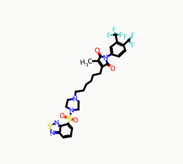 CC1=C(CCCCCCN2CCN(S(=O)(=O)c3cccc4nsnc34)CC2)C(=O)N(c2ccc(C(F)(F)F)c(C(F)(F)F)c2)C1=O